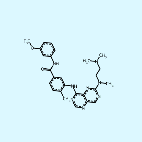 Cc1ccc(C(=O)Nc2cccc(OC(F)(F)F)c2)cc1Nc1ncnc2cnc(N(C)CCN(C)C)nc12